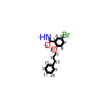 [NH]C(=O)c1cc(Br)ccc1OCCCc1ccccc1